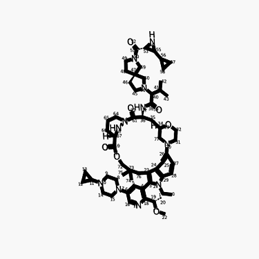 CCn1c(-c2cc(N3CCN(C4CC4)CC3)cnc2[C@H](C)OC)c2c3cc(ccc31)N1CCO[C@@H](C[C@H](NC(=O)C(C(C)C)N3CC[C@]4(CCN(C(=O)[C@@H]5NC5C5CC5)C4)C3)C(=O)N3CCC[C@H](N3)C(=O)OCC(C)(C)C2)C1